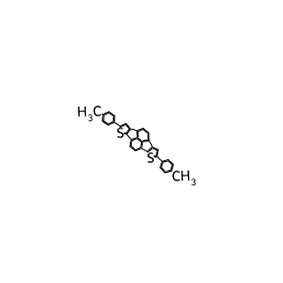 Cc1ccc(-c2cc3c(s2)-c2ccc4c5c(ccc-3c25)-c2cc(-c3ccc(C)cc3)sc2-4)cc1